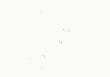 CC(C)C(C)N1CCC(N(Cc2ccccc2)C(=O)Nc2cc(F)cc(C(F)(F)F)c2)CC1